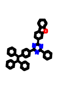 c1ccc(C(=C(c2ccccc2)c2ccc(-c3nc(-c4ccccc4)nc(-c4ccc5c(c4)oc4ccccc45)n3)cc2)c2ccccc2)cc1